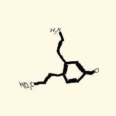 NCCc1cc(Cl)ccc1CCC(=O)O